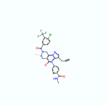 C#CCc1cnn2c3c(c(=O)n(-c4ccc(C(=O)NC)cc4)c12)C[C@H](C)N(C(=O)c1ccc(Br)c(C(F)(F)F)c1)C3